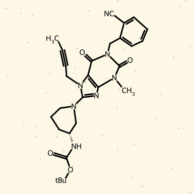 CC#CCn1c(N2CCC[C@@H](NC(=O)OC(C)(C)C)C2)nc2c1c(=O)n(Cc1ccccc1C#N)c(=O)n2C